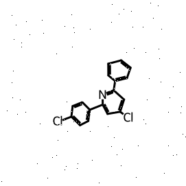 Clc1ccc(-c2cc(Cl)cc(-c3ccccc3)n2)cc1